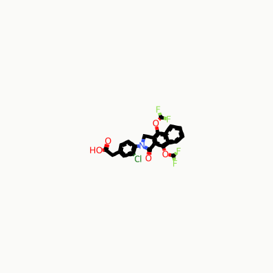 O=C(O)Cc1ccc(N2Cc3c(c(OC(F)F)c4ccccc4c3OC(F)F)C2=O)c(Cl)c1